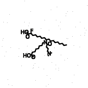 CCCCCCCCCC(CCCCCCC(F)C(=O)O)N(CCCCCCCC(=O)O)C(=O)CCCN(C)C